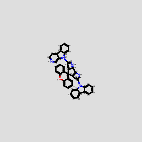 c1ccc2c(c1)Oc1ccccc1C21c2cc(-n3c4ccccc4c4ccccc43)cnc2-c2ncc(-n3c4ccccc4c4ccncc43)cc21